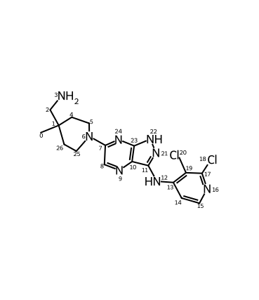 CC1(CN)CCN(c2cnc3c(Nc4ccnc(Cl)c4Cl)n[nH]c3n2)CC1